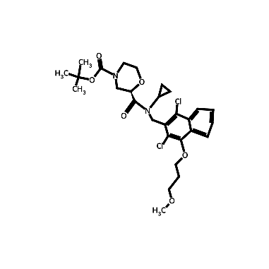 COCCCOc1c(Cl)c(CN(C(=O)[C@H]2CN(C(=O)OC(C)(C)C)CCO2)C2CC2)c(Cl)c2ccccc12